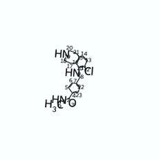 CNC(=O)c1ccc(CNc2c(Cl)ccc3c2CCNCC3)cc1